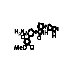 COc1ccc(C2CC(n3c(=O)[nH]c4c(N5Cc6cn[nH]c6C5)cccc43)CCN2C(N)=O)cc1Cl